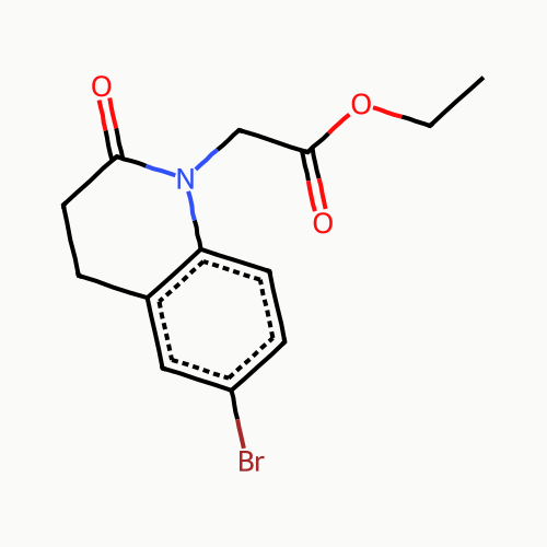 CCOC(=O)CN1C(=O)CCc2cc(Br)ccc21